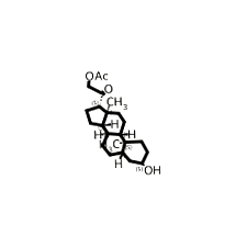 CC(=O)OCC(=O)[C@H]1CC[C@H]2[C@@H]3CC[C@H]4C[C@@H](O)CC[C@]4(C)[C@H]3CC[C@]12C